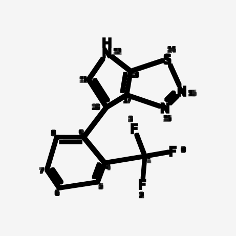 FC(F)(F)c1ccccc1-c1c[nH]c2snnc12